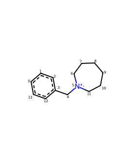 c1ccc(C[N+]2CCCCCC2)cc1